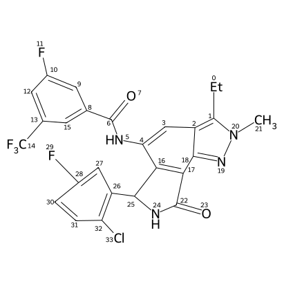 CCc1c2cc(NC(=O)c3cc(F)cc(C(F)(F)F)c3)c3c(c2nn1C)C(=O)NC3c1cc(F)ccc1Cl